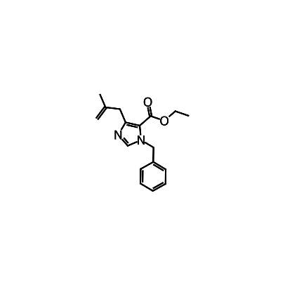 C=C(C)Cc1ncn(Cc2ccccc2)c1C(=O)OCC